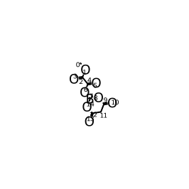 COC(=O)C(=O)OB1OC(=O)CC(=O)O1